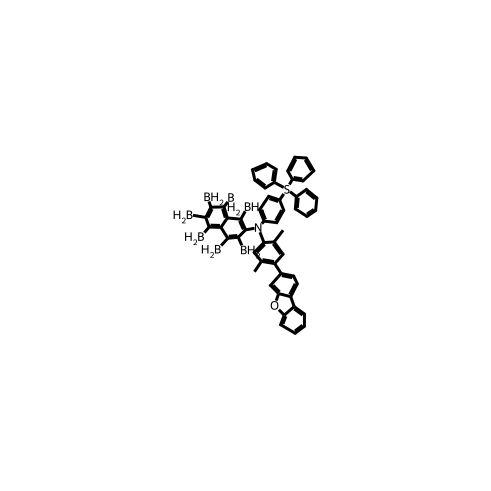 Bc1c(B)c(B)c2c(B)c(N(c3ccc(S(c4ccccc4)(c4ccccc4)c4ccccc4)cc3)c3cc(C)c(-c4ccc5c(c4)oc4ccccc45)cc3C)c(B)c(B)c2c1B